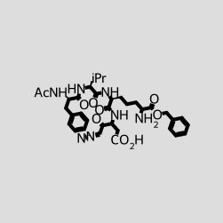 CC(=O)N[C@@H](Cc1ccccc1)C(=O)N[C@H](C(=O)N[C@@H](CCCC(N)C(=O)OCc1ccccc1)C(=O)NC(CC(=O)O)C(=O)C=[N+]=[N-])C(C)C